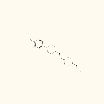 CCCC1CCC(CCC2CCC(c3ccc(CCO)c(F)c3)CC2)CC1